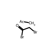 CC(C)=O.O=C(Br)CBr